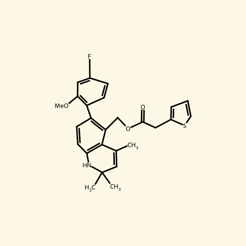 COc1cc(F)ccc1-c1ccc2c(c1COC(=O)Cc1cccs1)C(C)=CC(C)(C)N2